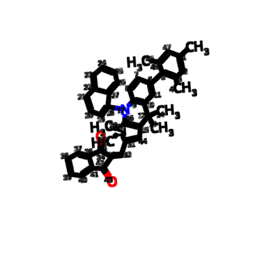 Cc1cc(C)c(-c2ccc3c(c2)C(C)(C)C2=C(N3c3cccc4ccccc34)[Si](C)(C)C(C=C3C(=O)c4ccccc4C3=O)=C2)c(C)c1